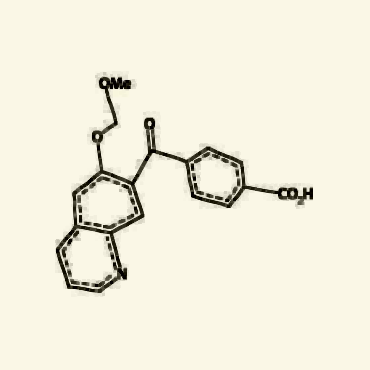 COCOc1cc2cccnc2cc1C(=O)c1ccc(C(=O)O)cc1